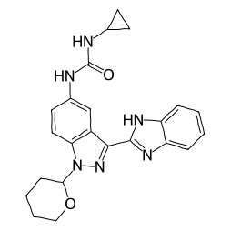 O=C(Nc1ccc2c(c1)c(-c1nc3ccccc3[nH]1)nn2C1CCCCO1)NC1CC1